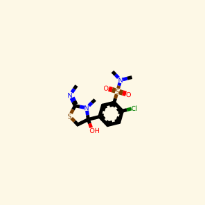 CN=C1SCC(O)(c2ccc(Cl)c(S(=O)(=O)N(C)C)c2)N1C